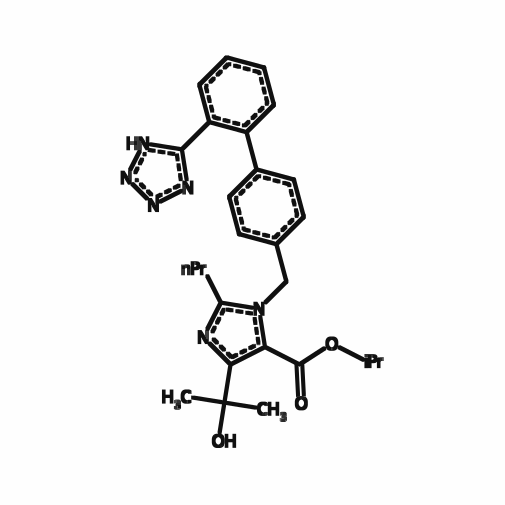 CCCc1nc(C(C)(C)O)c(C(=O)OC(C)C)n1Cc1ccc(-c2ccccc2-c2nnn[nH]2)cc1